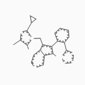 O=C(O)c1c(Cl)nc(C2CC2)n1Cc1c2ccocc-2c(Br)c1-c1ccccc1-c1nnn[nH]1